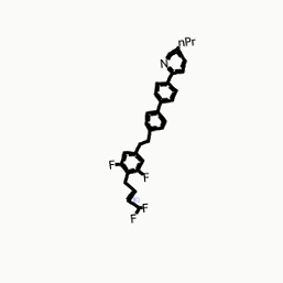 CCCc1ccc(-c2ccc(-c3ccc(CCc4cc(F)c(C/C=C/C(F)F)c(F)c4)cc3)cc2)nc1